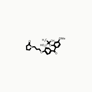 COc1ccc(C(=O)c2ccc(OCCCN3CCCC3=O)cc2)c(OC(C)(C)C(=O)O)c1